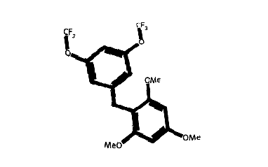 COc1cc(OC)c([CH]c2cc(OC(F)(F)F)cc(OC(F)(F)F)c2)c(OC)c1